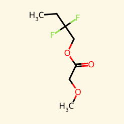 CCC(F)(F)COC(=O)COC